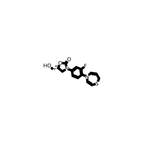 O=C1O[C@@H](CO)CN1c1ccc(N2C=CCSC=C2)c(F)c1